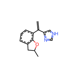 C=C(c1c[nH]cn1)c1cccc2c1OC(C)C2